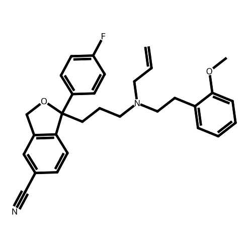 C=CCN(CCCC1(c2ccc(F)cc2)OCc2cc(C#N)ccc21)CCc1ccccc1OC